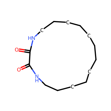 O=C1NCCCCCCCCCCCCNC1=O